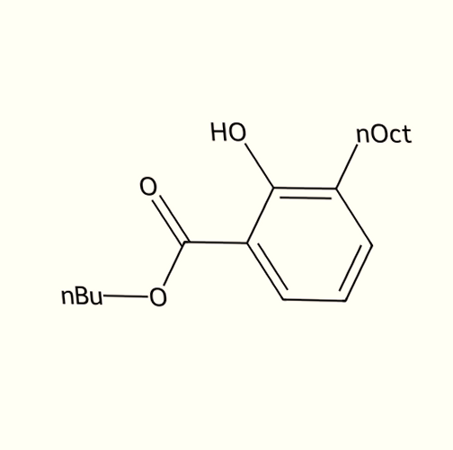 CCCCCCCCc1cccc(C(=O)OCCCC)c1O